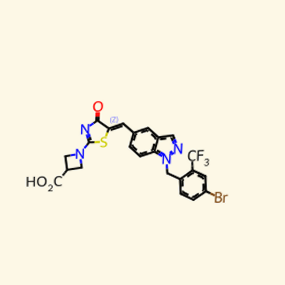 O=C1N=C(N2CC(C(=O)O)C2)S/C1=C\c1ccc2c(cnn2Cc2ccc(Br)cc2C(F)(F)F)c1